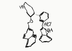 Cl.c1cc(-c2cc3ccccc3[nH]2)cc([C@H]2CCNC[C@@H]2OCc2ccc3ccccc3c2)c1